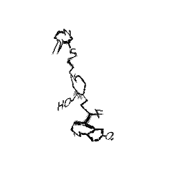 COc1ccc2nccc(C(F)CC[C@@H]3CCN(CCCSc4cnccn4)C[C@@H]3CO)c2c1